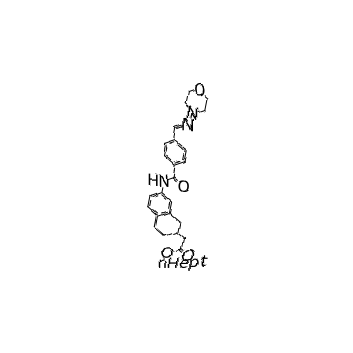 CCCCCCCOC(=O)CC1CCc2ccc(NC(=O)c3ccc(C=NN4CCOCC4)cc3)cc2C1